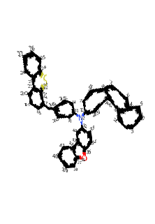 c1ccc2c(c1)ccc1ccc(N(c3ccc(-c4cccc5c4sc4ccccc45)cc3)c3ccc4oc5ccccc5c4c3)cc12